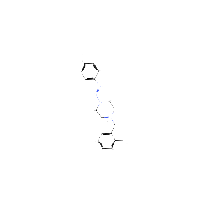 Cc1ccc(/N=N/N2CCN(Cc3ccccc3C)CC2)cc1